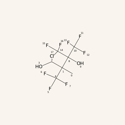 CC(CO)(C(F)(F)F)C(O)(C(F)(F)F)C(F)(F)Cl